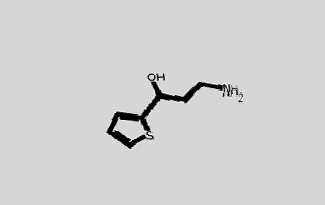 NCCC(O)c1cccs1